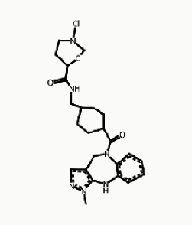 Cn1ncc2c1Nc1ccccc1N(C(=O)C1CCC(CNC(=O)C3CCN(Cl)CC3)CC1)C2